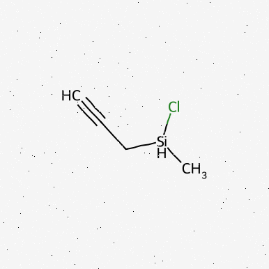 C#CC[SiH](C)Cl